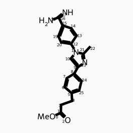 COC(=O)CCc1ccc(-c2cn(-c3ccc(C(=N)N)cc3)c(C)n2)cc1